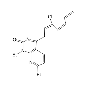 C=C/C=C\C(Cl)=C/Cc1nc(=O)n(CC)c2nc(CC)ccc12